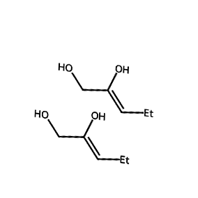 CCC=C(O)CO.CCC=C(O)CO